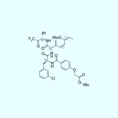 C=C(/C=C\C(=C/C)OC)[C@H](NC(=O)[C@H](Cc1cccc(Cl)c1)NC(=O)c1ccc(OCC(=O)OC(C)(C)C)cc1)C(=O)N[C@H](C(=O)C(F)(F)F)C(C)C